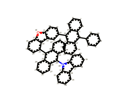 c1ccc(-c2c3ccccc3c(-c3ccc4oc5cccc(-c6c7ccccc7c(-n7c8ccccc8c8ccccc87)c7ccccc67)c5c4c3)c3ccccc23)cc1